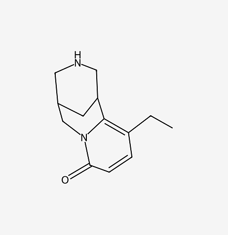 CCc1ccc(=O)n2c1C1CNCC(C1)C2